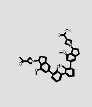 COc1cc(-c2cccc(-c3cccc(-c4cc5c(c(OC)c4)C(N4CC(C(=O)O)C4)CC5)c3Cl)c2Cl)cc2c1C(N1CC(C(C)=O)C1)CC2